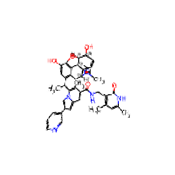 Cc1cc(C)c(CNC(=O)c2cc3cc(-c4cccnc4)cn3c(C(C)c3cc(O)c4c5c3C[C@@H]3[C@@H]6C=C[C@H](O)[C@H](O4)[C@]56CCN3C)c2C)c(=O)[nH]1